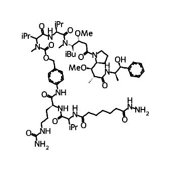 CC[C@H](C)[C@@H]([C@@H](CC(=O)N1CCC[C@H]1[C@H](OC)[C@@H](C)C(=O)N[C@H](C)[C@@H](O)c1ccccc1)OC)N(C)C(=O)[C@@H](NC(=O)C(C(C)C)N(C)C(=O)OCc1ccc(NC(=O)[C@H](CCCNC(N)=O)NC(=O)C(NC(=O)CCCCCC(=O)NN)C(C)C)cc1)C(C)C